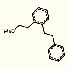 COCCc1ccccc1CCc1ccccc1